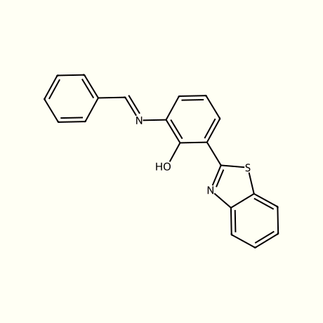 Oc1c(N=Cc2ccccc2)cccc1-c1nc2ccccc2s1